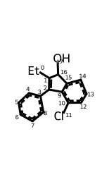 CCC1=C(c2ccccc2)c2c(Cl)cccc2C1O